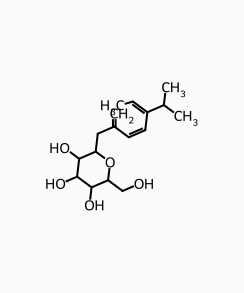 C=C(/C=C\C(=C/C)C(C)C)CC1OC(CO)C(O)C(O)C1O